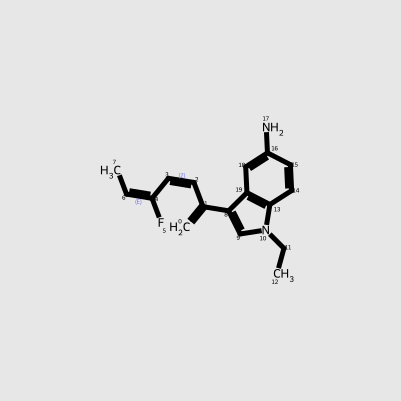 C=C(/C=C\C(F)=C/C)c1cn(CC)c2ccc(N)cc12